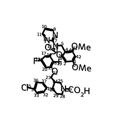 COc1ccc(CN(c2ncccn2)S(=O)(=O)c2cc(F)cc(OCC3CN(C(=O)O)CC[C@@H]3c3ccc(Cl)cc3)c2F)c(OC)c1